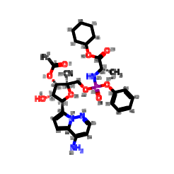 CC(C)C(=O)O[C@H]1[C@@H](O)[C@H](c2ccc3c(N)ccnn23)O[C@]1(C#N)COP(=O)(N[C@@H](C)C(=O)OC1CCCCC1)Oc1ccccc1